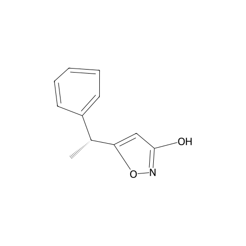 C[C@H](c1ccccc1)c1cc(O)no1